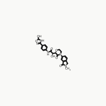 CN1Cc2ccc(N3CCO[C@H]([C@@H](O)C(=O)Nc4ccc(C5=NOC(O)N5)cc4)C3=O)cc2C1=O